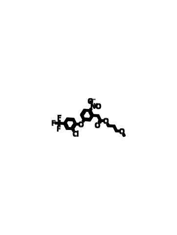 COCCCOC(=O)Cc1cc(Oc2ccc(C(F)(F)F)cc2Cl)ccc1[N+](=O)[O-]